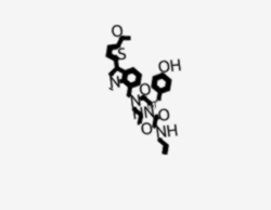 C=CCNCC(=O)N[C@@H](Cc1ccc(O)cc1)C(=O)N(CCC=O)Cc1cccc2c1N(C)CC2c1ccc(C(C)=O)s1